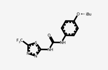 CC[C@@H](C)Oc1ccc(NC(=O)Nc2nnc(C(F)(F)F)s2)cc1